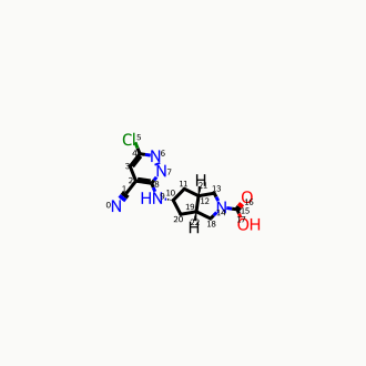 N#Cc1cc(Cl)nnc1N[C@@H]1C[C@@H]2CN(C(=O)O)C[C@@H]2C1